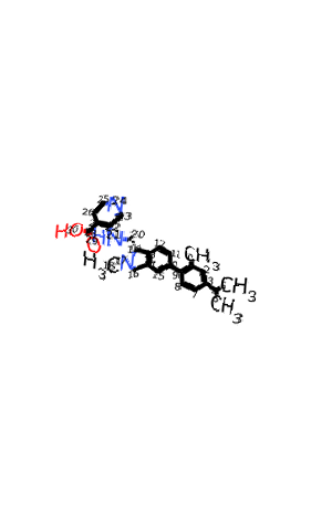 Cc1cc(C(C)C)ccc1-c1ccc2c(c1)CN(C)[C@@H]2CNc1cnccc1C(=O)O